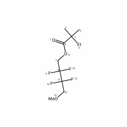 CCC(C)(C)C(=O)OCC(F)(F)C(F)(F)COC